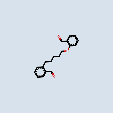 O=Cc1ccccc1CCCCCOc1ccccc1C=O